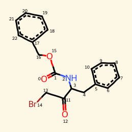 O=C(NC(Cc1ccccc1)C(=O)CBr)OCc1ccccc1